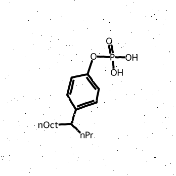 CCCCCCCCC(CCC)c1ccc(OP(=O)(O)O)cc1